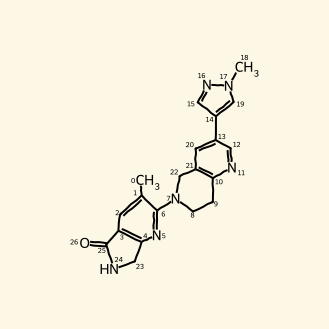 Cc1cc2c(nc1N1CCc3ncc(-c4cnn(C)c4)cc3C1)CNC2=O